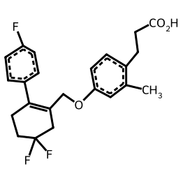 Cc1cc(OCC2=C(c3ccc(F)cc3)CCC(F)(F)C2)ccc1CCC(=O)O